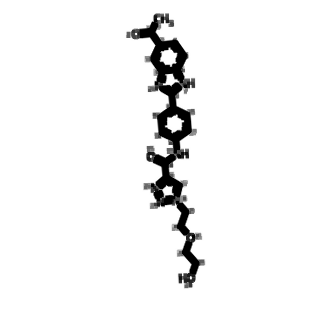 CC(=O)c1ccc2[nH]c(-c3ccc(NC(=O)c4cn(CCOCCO)nn4)cc3)nc2c1